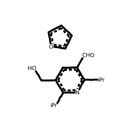 CC(C)c1nc(C(C)C)c(CO)cc1C=O.c1ccoc1